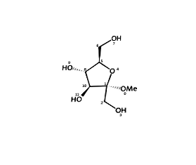 CO[C@@]1(CO)O[C@H](CO)[C@@H](O)[C@@H]1O